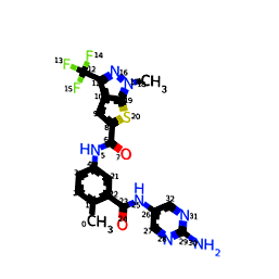 Cc1ccc(NC(=O)c2cc3c(C(F)(F)F)nn(C)c3s2)cc1C(=O)Nc1cnc(N)nc1